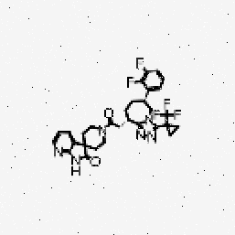 O=C(C[C@@H]1CC[C@@H](c2cccc(F)c2F)Cn2c1nnc2C1(C(F)(F)F)CC1)N1CCC2(CC1)C(=O)Nc1ncccc12